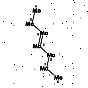 [Mo][Mo][Mo]/[Mo]=[Mo]/[Mo][Mo]